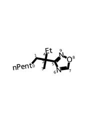 CCCCCCC(C)(CC)c1ncon1